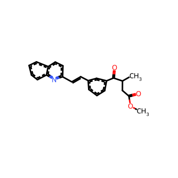 COC(=O)CC(C)C(=O)c1cccc(/C=C/c2ccc3ccccc3n2)c1